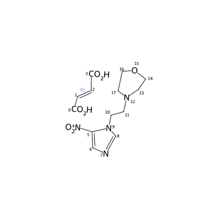 O=C(O)/C=C/C(=O)O.O=[N+]([O-])c1cncn1CCN1CCOCC1